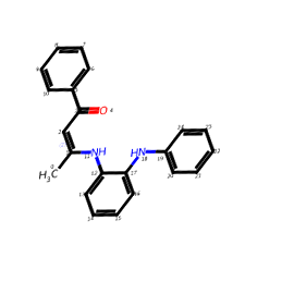 C/C(=C/C(=O)c1ccccc1)Nc1ccccc1Nc1ccccc1